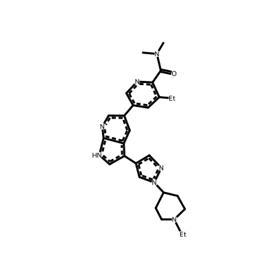 CCc1cc(-c2cnc3[nH]cc(-c4cnn(C5CCN(CC)CC5)c4)c3c2)cnc1C(=O)N(C)C